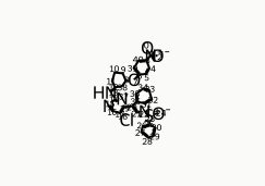 O=[N+]([O-])c1ccc(OC2CCCC(Nc3ncc(Cl)c(-c4cn([S+]([O-])c5ccccc5)c5ccccc45)n3)C2)cc1